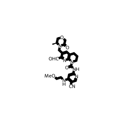 COCCNc1cc(NC(=O)N2CCCc3cc(CN4C(=O)COC[C@@H]4C)c(C=O)nc32)ncc1C#N